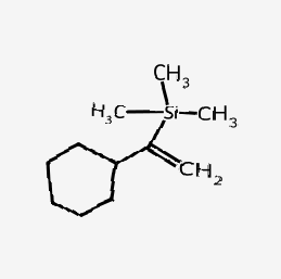 C=C(C1CCCCC1)[Si](C)(C)C